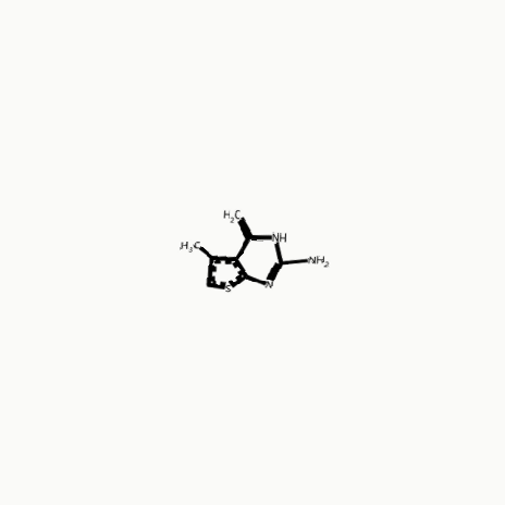 C=C1NC(N)=Nc2scc(C)c21